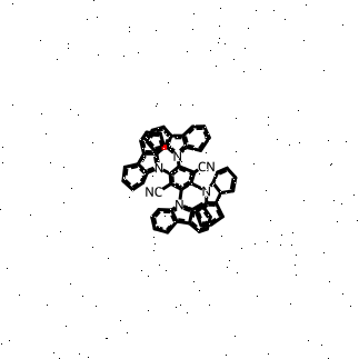 N#Cc1c(N2c3ccccc3C3C=CC=CC32)c(-n2c3ccccc3c3ccccc32)c(C#N)c(-n2c3ccccc3c3ccccc32)c1-n1c2ccccc2c2ccccc21